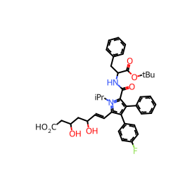 CC(C)n1c(C=CC(O)CC(O)CC(=O)O)c(-c2ccc(F)cc2)c(-c2ccccc2)c1C(=O)NC(Cc1ccccc1)C(=O)OC(C)(C)C